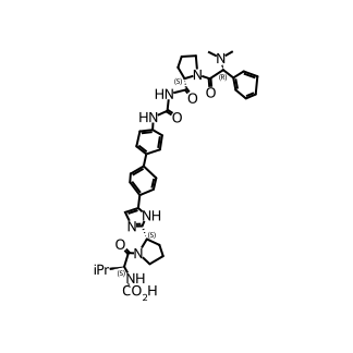 CC(C)[C@H](NC(=O)O)C(=O)N1CCC[C@H]1c1ncc(-c2ccc(-c3ccc(NC(=O)NC(=O)[C@@H]4CCCN4C(=O)[C@@H](c4ccccc4)N(C)C)cc3)cc2)[nH]1